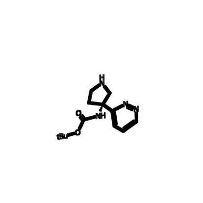 CC(C)(C)OC(=O)N[C@]1(c2cccnn2)CCNC1